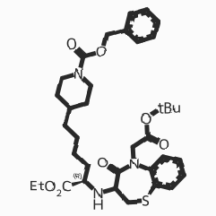 CCOC(=O)[C@@H](CCCCC1CCN(C(=O)OCc2ccccc2)CC1)NC1CSc2ccccc2N(CC(=O)OC(C)(C)C)C1=O